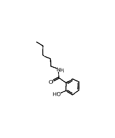 CCCCCNC(=O)c1ccccc1O